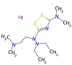 CCN(CC)N(CCN(C)C)C1=NC(N(C)C)SS1.I